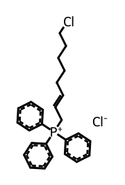 ClCCCCCC=CC[P+](c1ccccc1)(c1ccccc1)c1ccccc1.[Cl-]